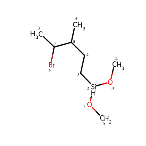 CO[SiH](CCC(C)C(C)Br)OC